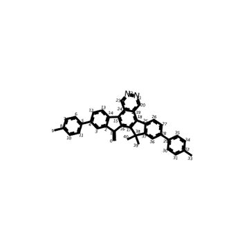 C=C1c2cc(-c3ccc(C)cc3)ccc2-c2c1c1c(c3cnncc23)-c2ccc(-c3ccc(C)cc3)cc2C1(C)C